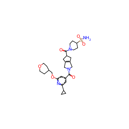 NS(=O)(=O)C1CCN(C(=O)C2CC3=C(C2)CN(C(=O)c2cc(OCC4CCOCC4)nc(C4CC4)c2)C3)CC1